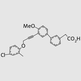 COc1ccc(-c2cccc(CC(=O)O)c2)cc1C#CCOc1ccc(Cl)cc1C